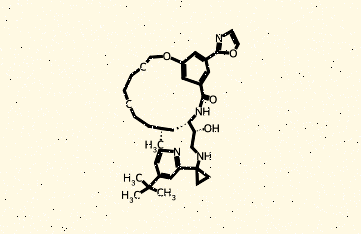 C[C@@H]1CCCCCCCOc2cc(cc(-c3ncco3)c2)C(=O)N[C@H]([C@H](O)CNC2(c3cc(C(C)(C)C)ccn3)CC2)C1